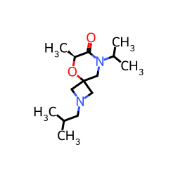 CC(C)CN1CC2(C1)CN(C(C)C)C(=O)[C@H](C)O2